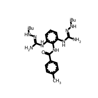 CCC(C)NN=C(N)Nc1c[c]cc(NC(N)=NNC(C)CC)c1NC(=O)c1ccc(C)cc1